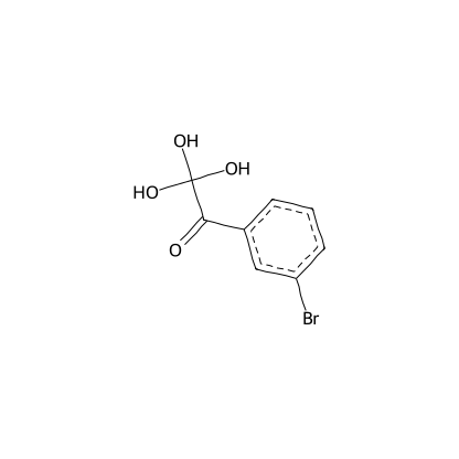 O=C(c1cccc(Br)c1)C(O)(O)O